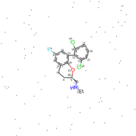 CCNC[C@H]1CCc2cc(F)cc(-c3c(Cl)cccc3Cl)c2O1